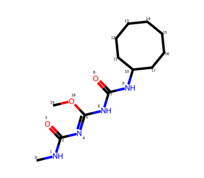 CNC(=O)N=C(NC(=O)NC1CCCCCCC1)OC